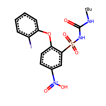 CC(C)(C)NC(=O)NS(=O)(=O)c1cc([N+](=O)O)ccc1Oc1ccccc1I